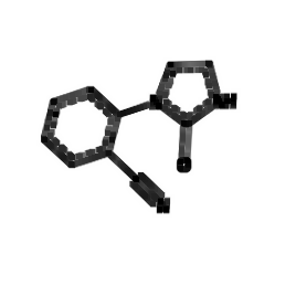 N#Cc1ccccc1-n1cc[nH]c1=O